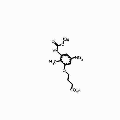 Cc1c(NC(=O)OC(C)(C)C)cc([N+](=O)[O-])cc1OCCCC(=O)O